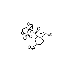 CCNC1CCC(S(=O)(=O)O)CC1C(=O)OC1C2CC3C(O2)C1OS3(=O)=O